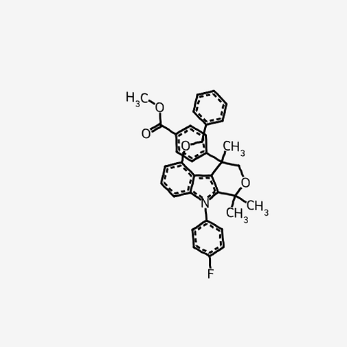 COC(=O)c1ccc(C2(C)COC(C)(C)c3c2c2c(OCc4ccccc4)cccc2n3-c2ccc(F)cc2)cc1